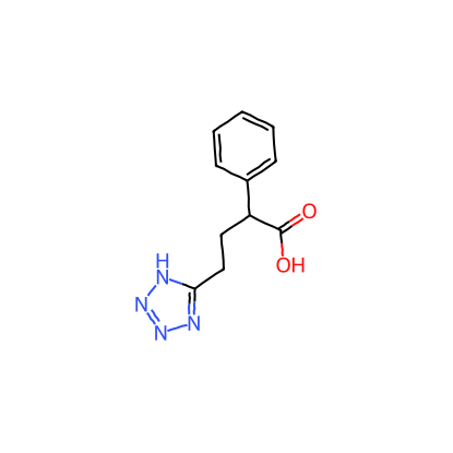 O=C(O)C(CCc1nnn[nH]1)c1ccccc1